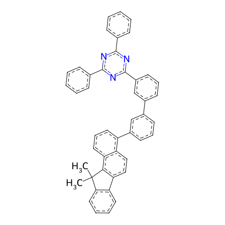 CC1(C)c2ccccc2-c2ccc3c(-c4cccc(-c5cccc(-c6nc(-c7ccccc7)nc(-c7ccccc7)n6)c5)c4)cccc3c21